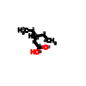 CC[SiH](CC)CC(=O)O